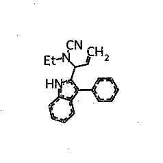 C=CC(c1[nH]c2ccccc2c1-c1ccccc1)N(C#N)CC